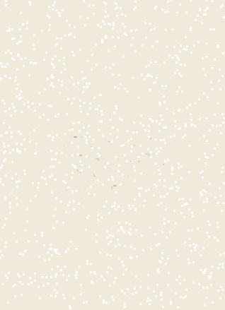 C=COc1cc([C@@](Cc2ccccc2)(N[S+]([O-])C(C)(C)C)c2cc(F)cc(OC(F)(F)C(F)F)c2)ccc1F